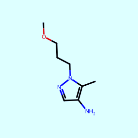 COCCCn1ncc(N)c1C